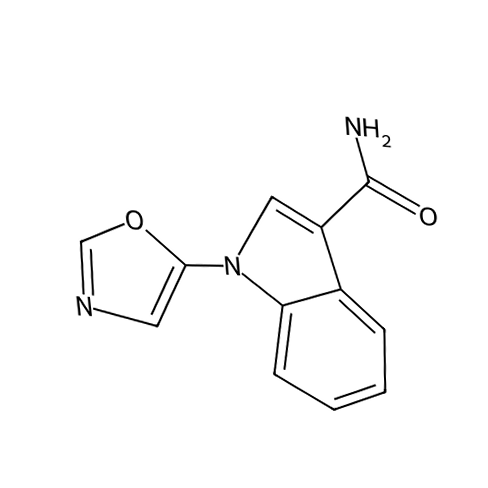 NC(=O)c1cn(-c2cnco2)c2ccccc12